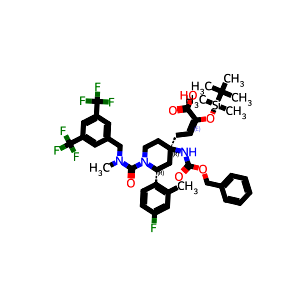 Cc1cc(F)ccc1[C@H]1C[C@](C/C=C(/O[Si](C)(C)C(C)(C)C)C(=O)O)(NC(=O)OCc2ccccc2)CCN1C(=O)N(C)Cc1cc(C(F)(F)F)cc(C(F)(F)F)c1